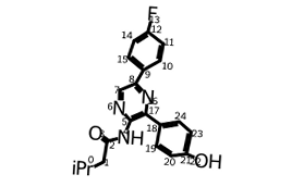 CC(C)CC(=O)Nc1ncc(-c2ccc(F)cc2)nc1-c1ccc(O)cc1